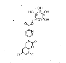 O=C(OC[C@H]1O[C@H](O)[C@H](O)[C@@H](O)[C@H]1O)c1ccc(N2Cc3cc(Cl)cc(Cl)c3OC2=S)cn1